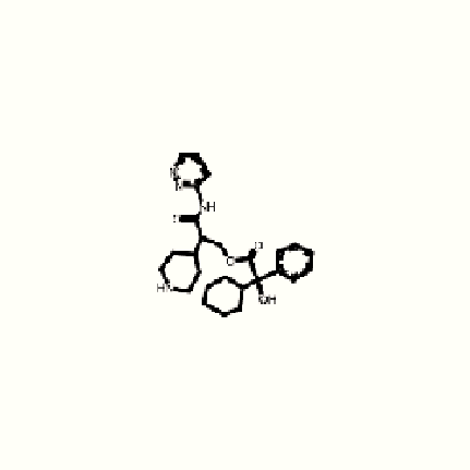 O=C(Nc1cccnn1)C(COC(=O)C(O)(c1ccccc1)C1CCCCC1)C1CCNCC1